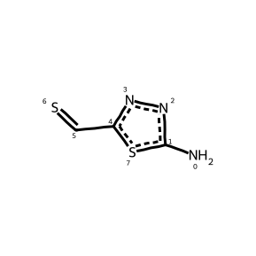 Nc1nnc(C=S)s1